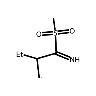 [CH2]C(CC)C(=N)S(C)(=O)=O